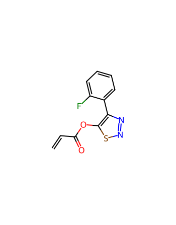 C=CC(=O)Oc1snnc1-c1ccccc1F